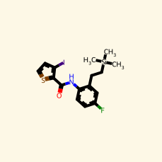 C[Si](C)(C)CCc1cc(F)ccc1NC(=O)c1sccc1I